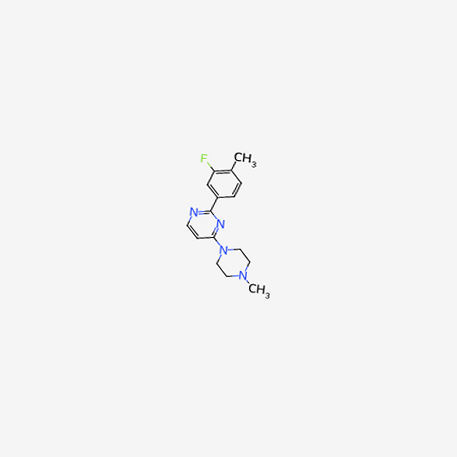 Cc1ccc(-c2nccc(N3CCN(C)CC3)n2)cc1F